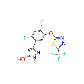 Cn1nc(-c2cc(Oc3nnc(C(F)(F)F)s3)c(Cl)cc2F)cc1O